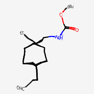 CCC1(CNC(=O)OC(C)(C)C)CCC(CC=O)CC1